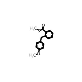 COc1ccc(Cc2ccccc2C(=O)SC)cc1